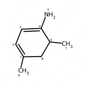 CC1=CC=C(N)C(C)C1